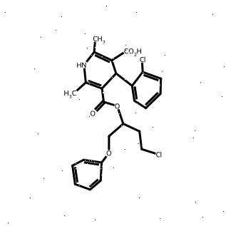 CC1=C(C(=O)O)C(c2ccccc2Cl)C(C(=O)OC(CCCl)COc2ccccc2)=C(C)N1